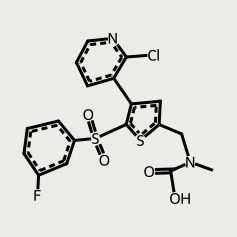 CN(Cc1cc(-c2cccnc2Cl)c(S(=O)(=O)c2cccc(F)c2)s1)C(=O)O